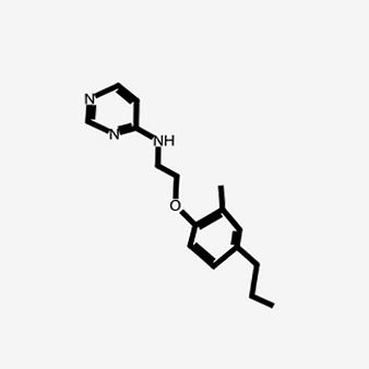 CCCc1ccc(OCCNc2ccncn2)c(C)c1